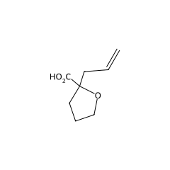 C=CCC1(C(=O)O)CCCO1